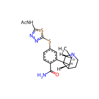 CC(=O)Nc1nnc(Sc2ccc(C(N)=O)c([C@H]3C4CCN(CC4)[C@H]3C)c2)s1